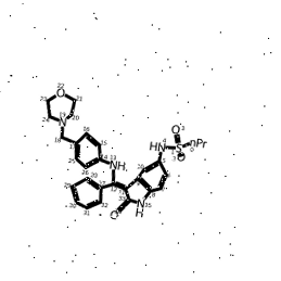 CCCS(=O)(=O)Nc1ccc2c(c1)C(=C(Nc1ccc(CN3CCOCC3)cc1)c1ccccc1)C(=O)N2